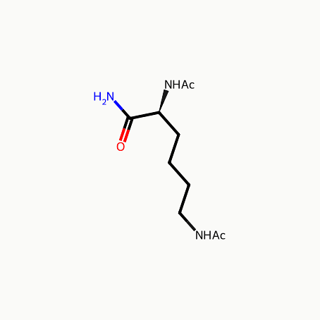 CC(=O)NCCCC[C@H](NC(C)=O)C(N)=O